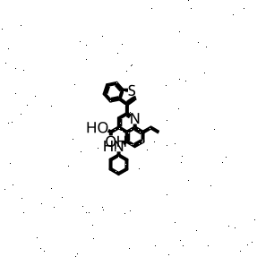 CCc1ccc(NC2CCCCC2)c2c(C(O)O)cc(-c3csc4ccccc34)nc12